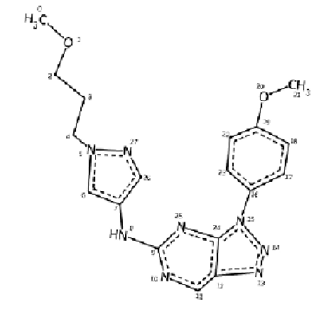 COCCCn1cc(Nc2ncc3nnn(-c4ccc(OC)cc4)c3n2)cn1